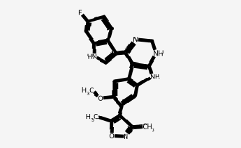 COc1cc2c3c([nH]c2cc1-c1c(C)noc1C)NCN=C3c1c[nH]c2cc(F)ccc12